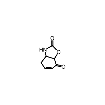 O=C1NC2CC=CC(=O)C2O1